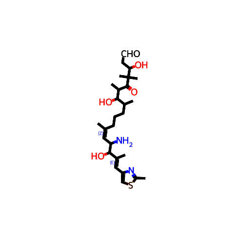 C/C(=C/C(N)C(O)/C(C)=C/c1csc(C)n1)CCCC(C)C(O)C(C)C(=O)C(C)(C)C(O)CC=O